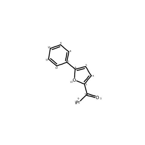 CC(C)C(=O)c1ccc(-c2ccccc2)o1